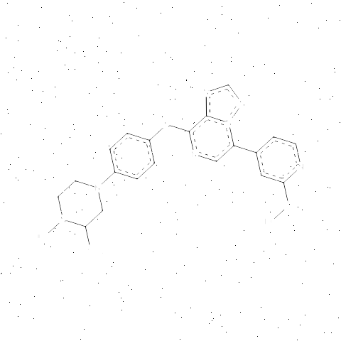 CCOc1cc(-c2cnc(Nc3ccc(N4CCN(C(C)C)C(C)C4)cc3)c3ncnn23)ccn1